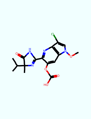 COn1cc(Cl)c2nc(C3=NC(C)(C(C)C)C(=O)N3)c(OC(=O)O)cc21